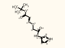 CC(C)(C)OC(=O)C=NOCC(=O)Nc1cc[nH]n1